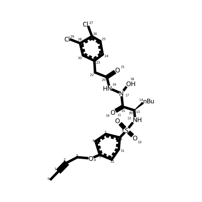 CC#CCOc1ccc(S(=O)(=O)N[C@H](CCCC)C(=O)N(O)NC(=O)Cc2ccc(Cl)c(Cl)c2)cc1